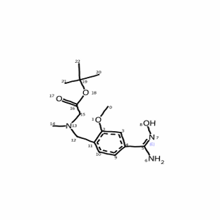 COc1cc(/C(N)=N\O)ccc1CN(C)CC(=O)OC(C)(C)C